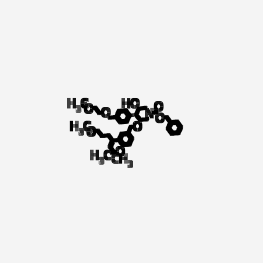 COCCCC1=CC(C)(C)Oc2ccc(CO[C@H]3CN(C(=O)OCc4ccccc4)C[C@@H](O)[C@@H]3c3ccc(COCCOC)cc3)cc21